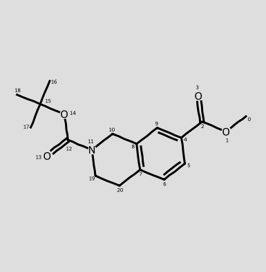 COC(=O)c1ccc2c(c1)CN(C(=O)OC(C)(C)C)CC2